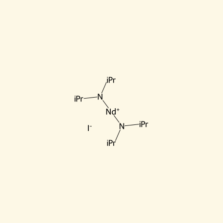 CC(C)[N]([Nd+][N](C(C)C)C(C)C)C(C)C.[I-]